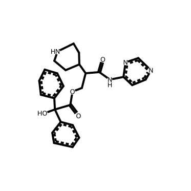 O=C(Nc1ccncn1)C(COC(=O)C(O)(c1ccccc1)c1ccccc1)C1CCNCC1